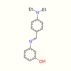 CCN(CC)c1ccc(C=Nc2cccc(O)c2)cc1